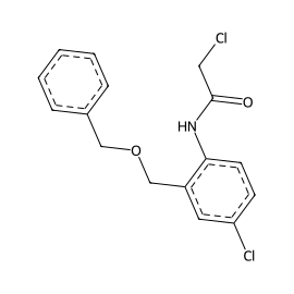 O=C(CCl)Nc1ccc(Cl)cc1COCc1ccccc1